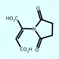 O=C(O)/C=C(/C(=O)O)N1C(=O)CCC1=O